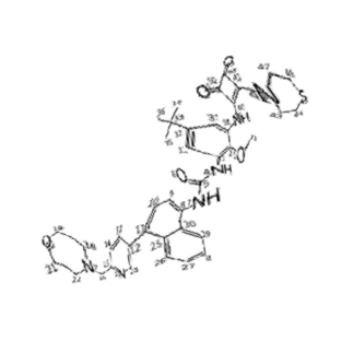 COc1c(NC(=O)Nc2ccc(-c3ccc(CN4CCOCC4)nc3)c3ccccc23)cc(C(C)(C)C)cc1Nc1c(N2CCSCC2)c(=O)c1=O